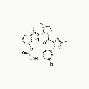 COC(=O)Oc1cccc2[nH]c([C@@H]3[C@@H](C)CCN3C(=O)c3nc(C)sc3-c3cccc(Cl)c3)nc12